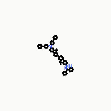 CC1(C)c2cc(NN=C(c3ccccc3)c3ccccc3)ccc2-c2ccc(-c3ccc4c(c3)C(C)(C)c3cc(N(c5ccc(-c6ccccc6)cc5)c5ccc(-c6ccccc6)cc5)ccc3-4)cc21